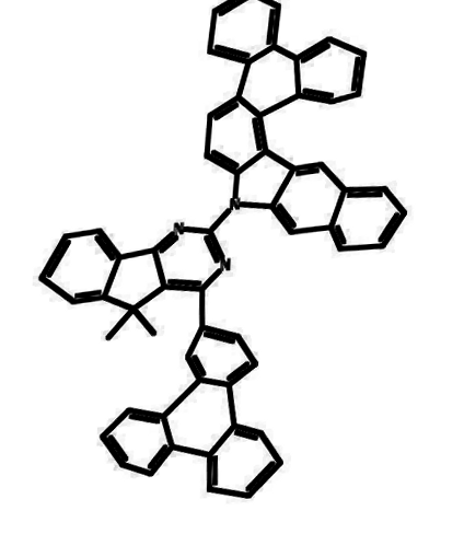 CC1(C)c2ccccc2-c2nc(-n3c4cc5ccccc5cc4c4c5c6ccccc6c6ccccc6c5ccc43)nc(-c3ccc4c5ccccc5c5ccccc5c4c3)c21